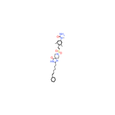 Cc1cc(N(C)C(N)=O)cc(C)c1C=CS(=O)(=O)N1CCC2(CC1)N=C(CCCCC=Cc1ccccc1)NC2=O